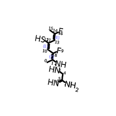 C\C(NNCC(=N)N)=C(F)/C=C(S)\C=C(/C)F